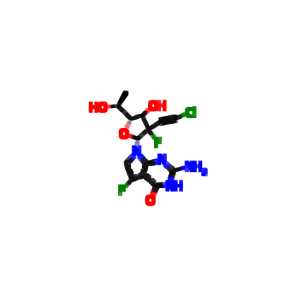 C[C@H](O)[C@H]1O[C@@H](n2cc(F)c3c(=O)[nH]c(N)nc32)C(F)(C#CCl)C1O